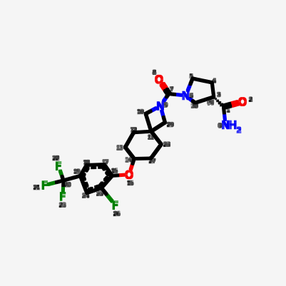 NC(=O)[C@H]1CCN(C(=O)N2CC3(CCC(Oc4ccc(C(F)(F)F)cc4F)CC3)C2)C1